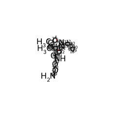 COc1cccc(-c2nc(-c3ccc4c(c3)-c3ccccc3C4)n(Cc3ccc(C(=O)NCCOCCOCCN)cc3)c2-c2cccc(OC)c2)c1